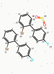 Fc1ccc(-c2ccccc2Br)cc1.Fc1ccc(-c2ccccc2Br)cc1.O=S=O